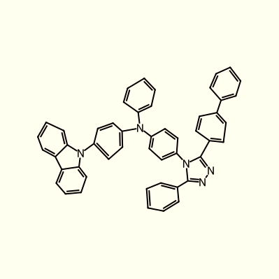 c1ccc(-c2ccc(-c3nnc(-c4ccccc4)n3-c3ccc(N(c4ccccc4)c4ccc(-n5c6ccccc6c6ccccc65)cc4)cc3)cc2)cc1